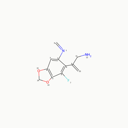 C=Nc1cc2c(c(F)c1C(=C)CN)OCO2